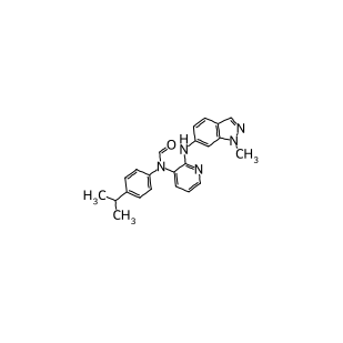 CC(C)c1ccc(N(C=O)c2cccnc2Nc2ccc3cnn(C)c3c2)cc1